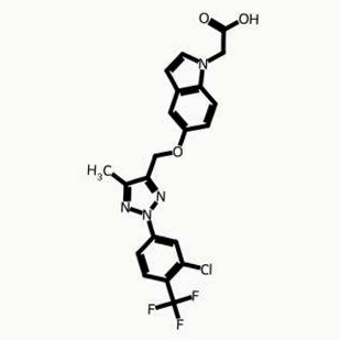 Cc1nn(-c2ccc(C(F)(F)F)c(Cl)c2)nc1COc1ccc2c(ccn2CC(=O)O)c1